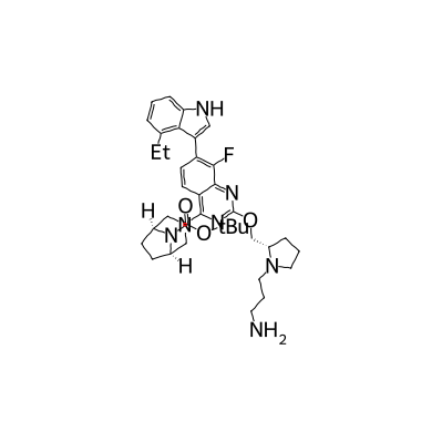 CCc1cccc2[nH]cc(-c3ccc4c(N5C[C@H]6CC[C@@H](C5)N6C(=O)OC(C)(C)C)nc(OC[C@@H]5CCCN5CCCN)nc4c3F)c12